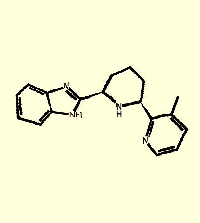 Cc1cccnc1[C@@H]1CCC[C@H](c2nc3ccccc3[nH]2)N1